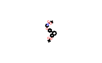 CC(C)(C)OC(=O)N1CC[C@H](Oc2ccc(C3=CCCCc4cc(OC(=O)C(C)(C)C)ccc43)cc2)C1